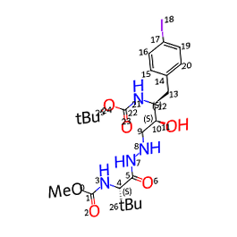 COC(=O)N[C@H](C(=O)NNC[C@H](O)[C@H](Cc1ccc(I)cc1)NC(=O)OC(C)(C)C)C(C)(C)C